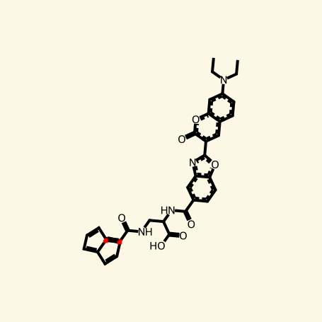 CCN(CC)c1ccc2cc(-c3nc4cc(C(=O)NC(CNC(=O)/C=C/C5=C\C=C/C=C/C=C\5)C(=O)O)ccc4o3)c(=O)oc2c1